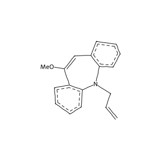 C=CCN1c2ccccc2C=C(OC)c2ccccc21